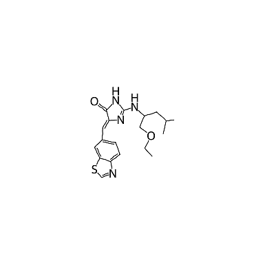 CCOCC(CC(C)C)NC1=N/C(=C\c2ccc3ncsc3c2)C(=O)N1